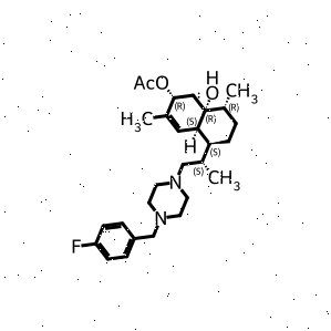 CC(=O)O[C@@H]1[C][C@@]2(O)[C@H](C)CC[C@@H]([C@H](C)CN3CCN(Cc4ccc(F)cc4)CC3)[C@H]2C=C1C